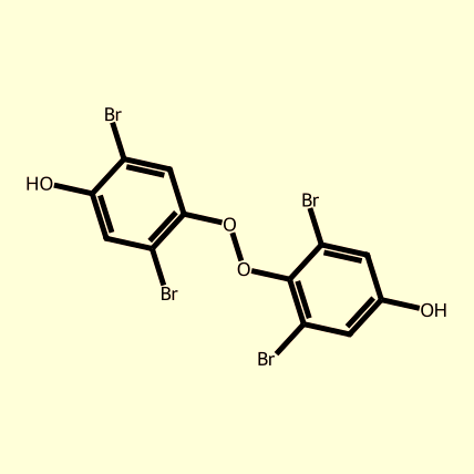 Oc1cc(Br)c(OOc2cc(Br)c(O)cc2Br)c(Br)c1